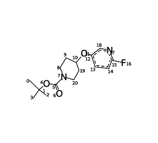 CC(C)(C)OC(=O)N1CCC(Oc2ccc(F)nc2)CC1